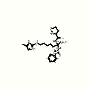 Cc1c[nH]c(NCCCCCC(NC(=O)C2CCON2)(NS(=O)(=O)c2ccccc2)C(=O)O)n1